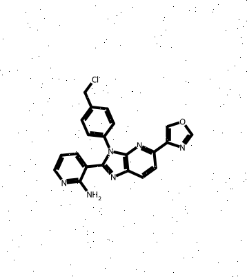 Nc1ncccc1-c1nc2ccc(-c3cocn3)nc2n1-c1ccc(CCl)cc1